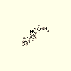 N[C@H]1C[C@H](Nc2ncc3c(-c4ccc5nccn5n4)ccn3n2)C1